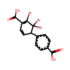 O=C(O)C1=C(Br)C(Br)(Br)C(c2ccc(C(=O)O)cc2)C=C1